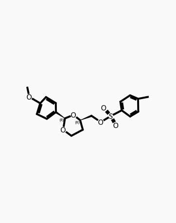 COc1ccc([C@@H]2OCC[C@H](COS(=O)(=O)c3ccc(C)cc3)O2)cc1